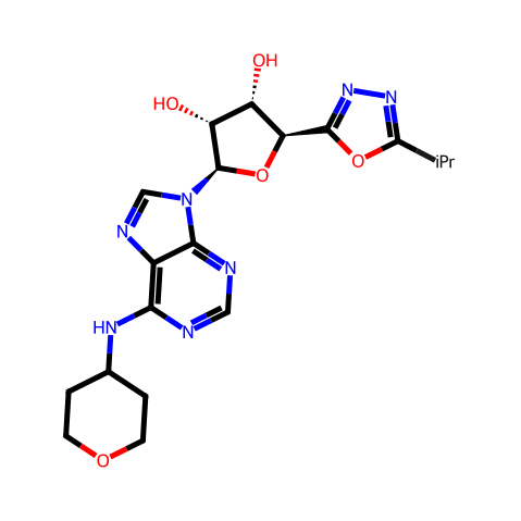 CC(C)c1nnc([C@H]2O[C@@H](n3cnc4c(NC5CCOCC5)ncnc43)[C@H](O)[C@@H]2O)o1